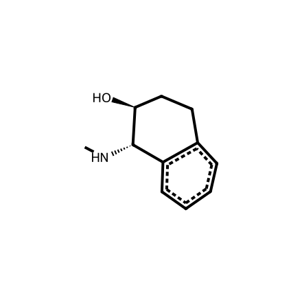 CN[C@H]1c2ccccc2CC[C@@H]1O